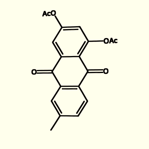 CC(=O)Oc1cc(OC(C)=O)c2c(c1)C(=O)c1cc(C)ccc1C2=O